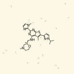 Cc1c(-c2ccn(C(C)C)n2)sc2nc(-c3nccn3C)nc(NC[C@@H]3CN(C)CCO3)c12